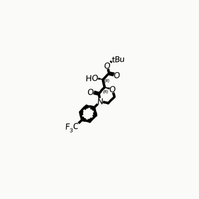 CC(C)(C)OC(=O)[C@H](O)[C@H]1OCCN(c2ccc(C(F)(F)F)cc2)C1=O